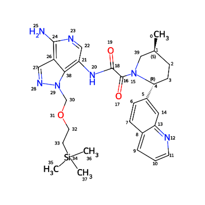 C[C@H]1CC[C@H](c2ccc3cccnc3c2)N(C(=O)C(=O)Nc2cnc(N)c3cnn(COCC[Si](C)(C)C)c23)C1